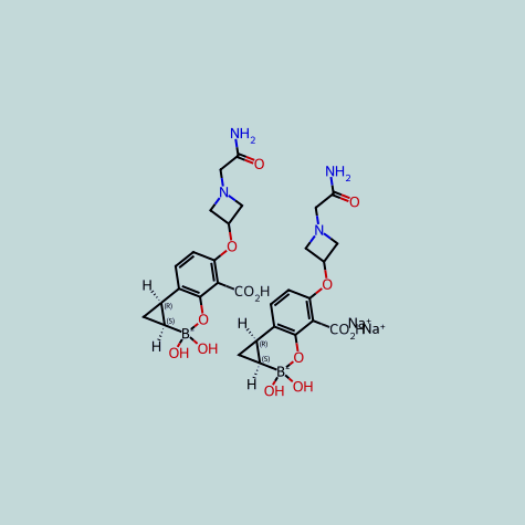 NC(=O)CN1CC(Oc2ccc3c(c2C(=O)O)O[B-](O)(O)[C@H]2C[C@@H]32)C1.NC(=O)CN1CC(Oc2ccc3c(c2C(=O)O)O[B-](O)(O)[C@H]2C[C@@H]32)C1.[Na+].[Na+]